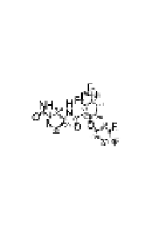 NC(=O)c1cc(NC(=O)c2c(Oc3ccc(F)c(F)c3)ccc(C(F)(F)F)c2F)ccn1